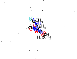 CCc1c(N2CCN(C(=O)OC(C)(C)C)CC2)c(=O)n2nc(C3=CCCCO3)nc2n1CC(=O)Nc1ccc(C(F)(F)F)nc1C